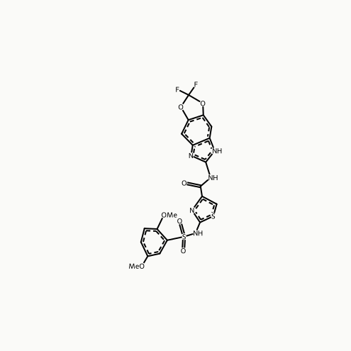 COc1ccc(OC)c(S(=O)(=O)Nc2nc(C(=O)Nc3nc4cc5c(cc4[nH]3)OC(F)(F)O5)cs2)c1